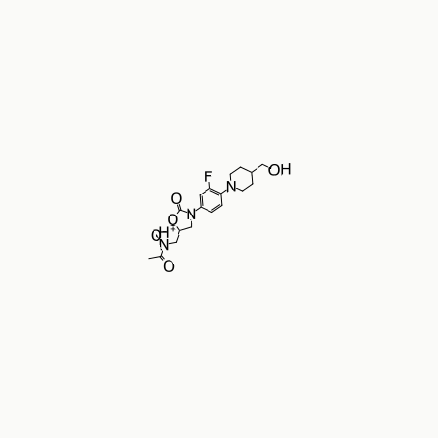 CC(=O)[N@@H+]([O-])CC1CN(c2ccc(N3CCC(CO)CC3)c(F)c2)C(=O)O1